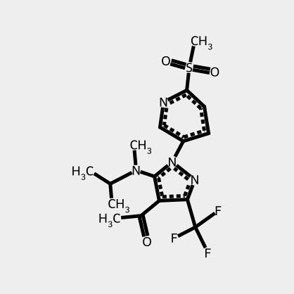 CC(=O)c1c(C(F)(F)F)nn(-c2ccc(S(C)(=O)=O)nc2)c1N(C)C(C)C